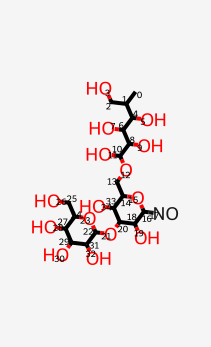 CC(CO)C(O)C(O)C(O)C(O)OCC1OC(N=O)C(O)C(OC2OC(CO)C(O)C(O)C2O)C1O